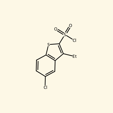 CCc1c(S(=O)(=O)Cl)sc2ccc(Cl)cc12